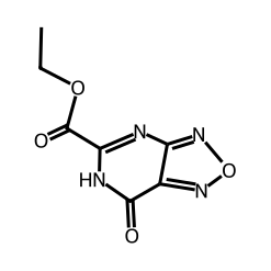 CCOC(=O)c1nc2nonc2c(=O)[nH]1